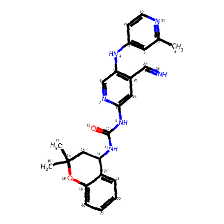 Cc1cc(Nc2cnc(NC(=O)NC3CC(C)(C)Oc4ccccc43)cc2C=N)ccn1